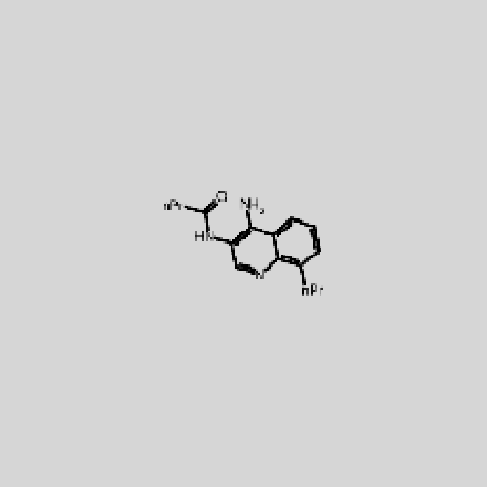 CCCC(=O)Nc1cnc2c(CCC)cccc2c1N